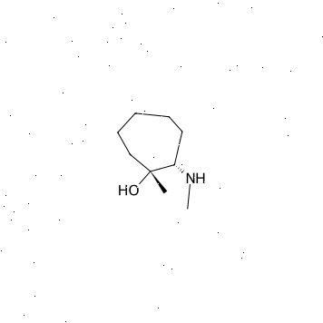 CN[C@H]1CCCCC[C@@]1(C)O